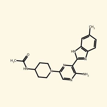 CC(=O)NC1CCN(c2cnc(N)c(-c3nc4ccc(C)cc4[nH]3)n2)CC1